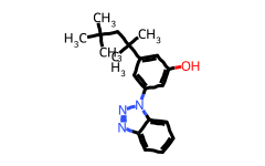 CC(C)(C)CC(C)(C)c1cc(O)cc(-n2nnc3ccccc32)c1